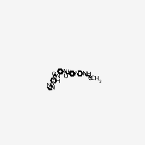 COCCNC1CCN(c2ccc(C(=O)Nc3cccc(NC(=O)N4CCN(c5ncccn5)CC4)c3)cc2)CC1